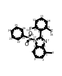 Cc1cccc2c1nc(-c1c(F)cccc1F)n2S(=O)(=O)c1ccccc1